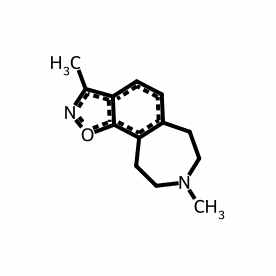 Cc1noc2c3c(ccc12)CCN(C)CC3